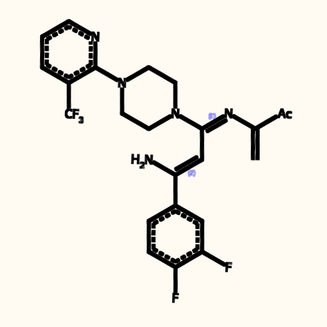 C=C(/N=C(\C=C(/N)c1ccc(F)c(F)c1)N1CCN(c2ncccc2C(F)(F)F)CC1)C(C)=O